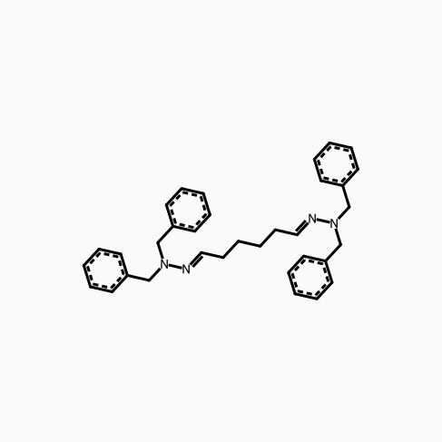 C(CCCCC=NN(Cc1ccccc1)Cc1ccccc1)=NN(Cc1ccccc1)Cc1ccccc1